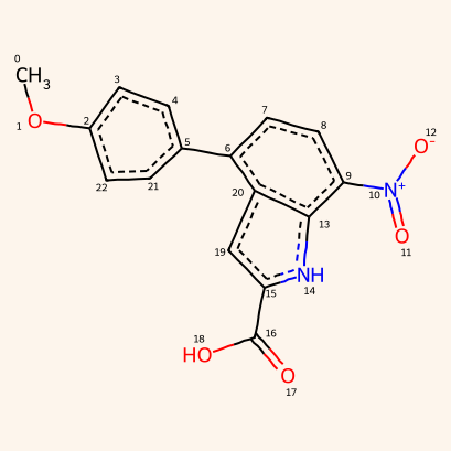 COc1ccc(-c2ccc([N+](=O)[O-])c3[nH]c(C(=O)O)cc23)cc1